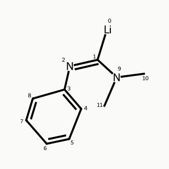 [Li][C](=Nc1ccccc1)N(C)C